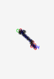 O=C1CC[C@H](N2Cc3c(ccc4c3OCC43CCN(C4CC5(CCN(C6CCN(c7ccc8c(c7)C7(CCCCC7)c7nc(=O)c9c(Cl)cccc9n7-8)CC6)CC5)C4)CC3)C2=O)C(=O)N1